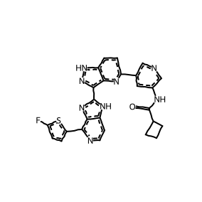 O=C(Nc1cncc(-c2ccc3[nH]nc(-c4nc5c(-c6ccc(F)s6)nccc5[nH]4)c3n2)c1)C1CCC1